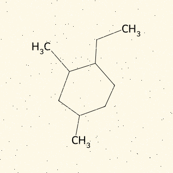 CCC1CCC(C)CC1C